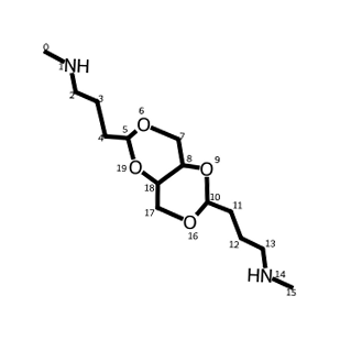 CNCCCC1OCC2OC(CCCNC)OCC2O1